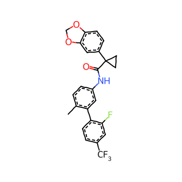 Cc1ccc(NC(=O)C2(c3ccc4c(c3)OCO4)CC2)cc1-c1ccc(C(F)(F)F)cc1F